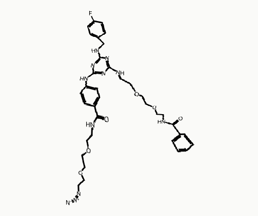 [N-]=[N+]=NCCOCCOCCNC(=O)c1ccc(Nc2nc(NCCOCCOCCNC(=O)c3ccccc3)nc(NCc3ccc(F)cc3)n2)cc1